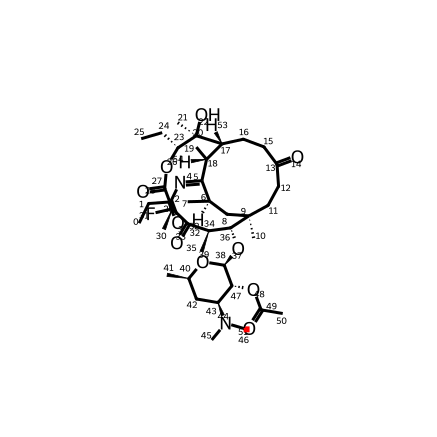 CCC(=O)/N=C1\[C@H](C)C[C@@]2(C)CCC(=O)CC[C@H]([C@H]1C)[C@](C)(O)[C@@H](CC)OC(=O)[C@@](C)(F)C(=O)[C@H](C)[C@H]2O[C@@H]1O[C@H](C)C[C@H](N(C)C)[C@H]1OC(C)=O